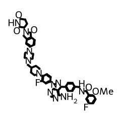 COc1ccc(F)cc1C(=O)NCc1ccc(-c2nn(-c3ccc(N4CCC(CN5CCN(c6ccc7c(c6)CN([C@H]6CCC(=O)NC6=O)C7=O)CC5)CC4)c(F)c3)c3ncnc(N)c23)cc1